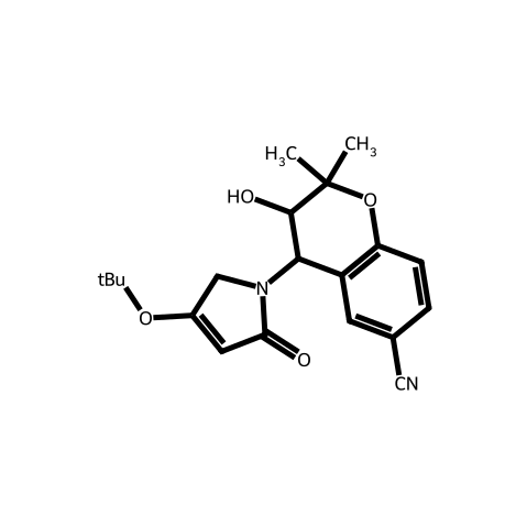 CC(C)(C)OC1=CC(=O)N(C2c3cc(C#N)ccc3OC(C)(C)C2O)C1